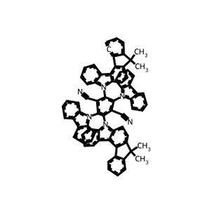 CC1(C)c2ccccc2-c2c1ccc1c2c2ccccc2n1-c1c(C#N)c(-n2c3ccccc3c3ccccc32)c(-n2c3ccccc3c3c4c(ccc32)C(C)(C)c2ccccc2-4)c(C#N)c1-n1c2ccccc2c2ccccc21